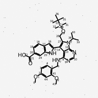 COc1ccc(CNc2ncnc3c2c(-c2cc4ccc(C(=O)O)cc4[nH]2)c(CO[Si](C)(C)C(C)(C)C)n3C(C)C)c(OC)c1